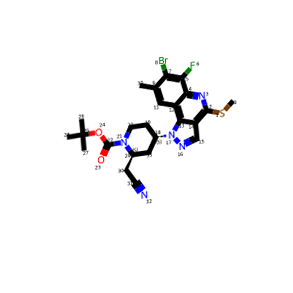 CSc1nc2c(F)c(Br)c(C)cc2c2c1cnn2[C@H]1CCN(C(=O)OC(C)(C)C)[C@H](CC#N)C1